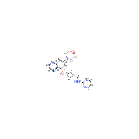 c1cnc(NC[C@H]2C[C@@H](Oc3cc(N4CCOCC4)cc4nccnc34)C2)nc1